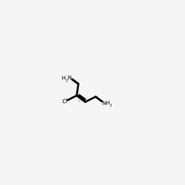 NC/C=C(/Cl)CN